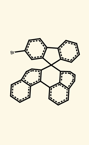 Brc1ccc2c(c1)C1(c3ccccc3-2)c2ccc3ccccc3c2-c2cccc3cccc1c23